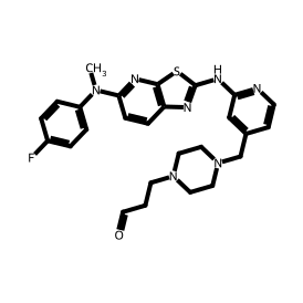 CN(c1ccc(F)cc1)c1ccc2nc(Nc3cc(CN4CCN(CCC=O)CC4)ccn3)sc2n1